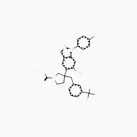 CC(=O)N1CCC(Cc2cccc(C(F)(F)F)c2)(c2cc3cnn(-c4ccc(F)cc4)c3cc2C)C1